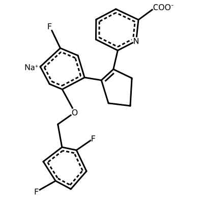 O=C([O-])c1cccc(C2=C(c3cc(F)ccc3OCc3cc(F)ccc3F)CCC2)n1.[Na+]